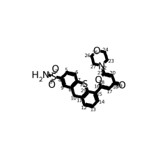 NS(=O)(=O)c1ccc2c(c1)Cc1cccc(-c3cc(=O)cc(N4CCOCC4)o3)c1S2